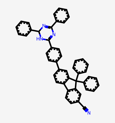 N#Cc1ccc2c(c1)C(c1ccccc1)(c1ccccc1)c1cc(-c3ccc(C4=NC(c5ccccc5)=NC(c5ccccc5)N4)cc3)ccc1-2